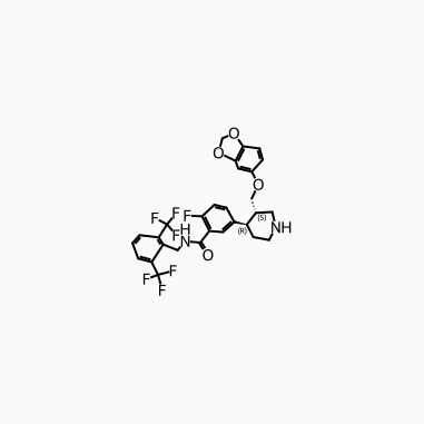 O=C(NCc1c(C(F)(F)F)cccc1C(F)(F)F)c1cc([C@@H]2CCNC[C@H]2COc2ccc3c(c2)OCO3)ccc1F